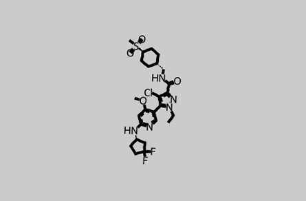 CCn1nc(C(=O)NC[C@H]2CC[C@H](S(C)(=O)=O)CC2)c(Cl)c1-c1cnc(N[C@H]2CCC(F)(F)C2)cc1OC